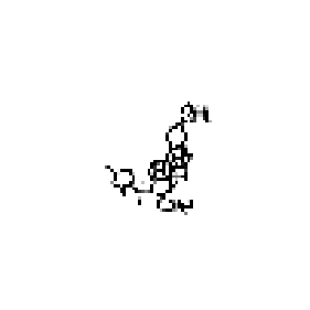 C[C@H]1CCC([C@@H](C)[C@H]2[C@H](O)C[C@H]3[C@@H]4CC=C5CC(O)CC[C@]5(C)[C@H]4CC[C@]23C)=NC1